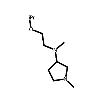 CC(C)OCCN(C)C1CCN(C)C1